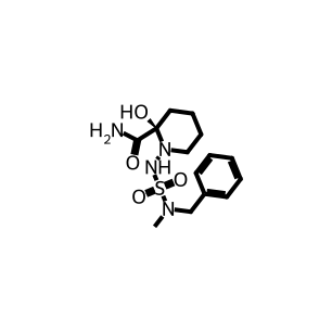 CN(Cc1ccccc1)S(=O)(=O)NN1CCCC[C@@]1(O)C(N)=O